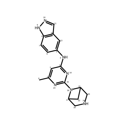 Cc1cc(Nc2ccc3[nH]ncc3c2)nc(N2C3CNCC2C3)n1